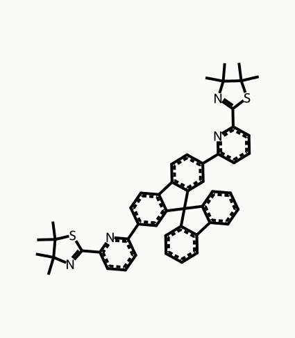 CC1(C)N=C(c2cccc(-c3ccc4c(c3)C3(c5ccccc5-c5ccccc53)c3cc(-c5cccc(C6=NC(C)(C)C(C)(C)S6)n5)ccc3-4)n2)SC1(C)C